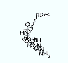 CCCCCCCCCCCCCCCCCCOC[C@H](COP(=O)(O)OC1[C@H]2O[C@@](C)(c3ccc4c(N)ncnn34)[C@H](O)[C@@]12O)NC(C)Cc1ccccc1